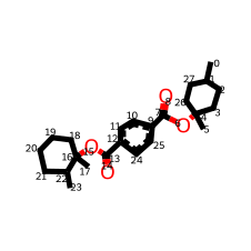 CC1CCC(C)(OC(=O)c2ccc(C(=O)OC3(C)CCCCC3C)cc2)CC1